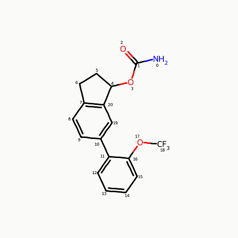 NC(=O)OC1CCc2ccc(-c3ccccc3OC(F)(F)F)cc21